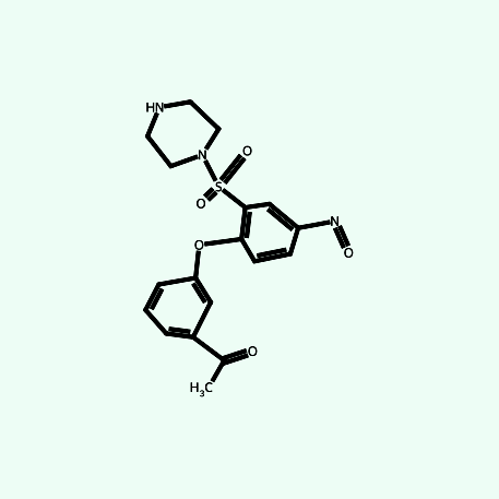 CC(=O)c1cccc(Oc2ccc(N=O)cc2S(=O)(=O)N2CCNCC2)c1